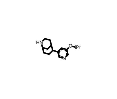 CC(C)Oc1cncc(C2CCC3CC2CCN3)c1